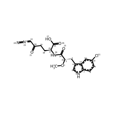 CO[C@@H](Cc1c[nH]c2ccc(Cl)cc12)C(=O)N[C@@H](CCC(=O)C=[N+]=[N-])C(=O)O